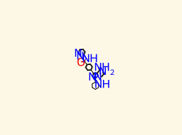 Nc1nccn2c(C3CCCCN3)nc(-c3ccc(C(=O)Nc4cccnn4)cc3)c12